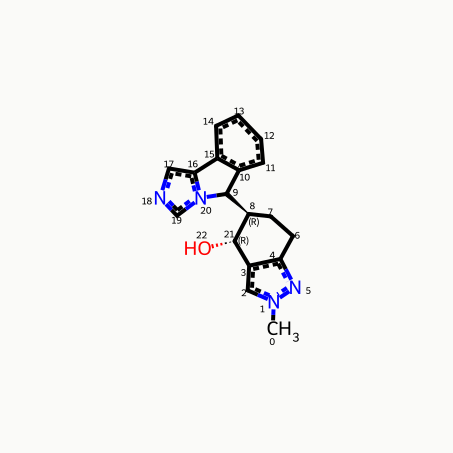 Cn1cc2c(n1)CC[C@H](C1c3ccccc3-c3cncn31)[C@H]2O